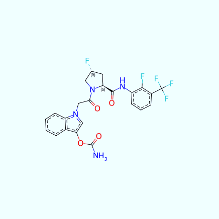 NC(=O)Oc1cn(CC(=O)N2C[C@H](F)C[C@H]2C(=O)Nc2cccc(C(F)(F)F)c2F)c2ccccc12